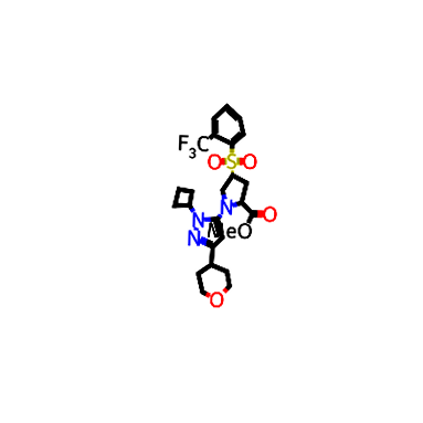 COC(=O)C1C[C@@H](S(=O)(=O)c2ccccc2C(F)(F)F)CN1c1cc(C2CCOCC2)nn1C1CCC1